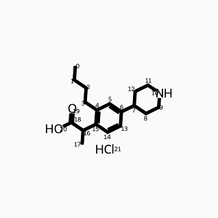 CCCCc1cc(C2CCNCC2)ccc1C(C)C(=O)O.Cl